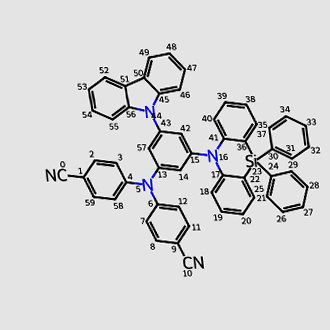 N#Cc1ccc(N(c2ccc(C#N)cc2)c2cc(N3c4ccccc4[Si](c4ccccc4)(c4ccccc4)c4ccccc43)cc(-n3c4ccccc4c4ccccc43)c2)cc1